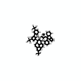 CC(C)(C)c1cc2ccc3c4c5c(c6ccc(c1)c2c36)N1c2ccccc2C2(C3=C(C=CCC3)c3ccccc32)c2cccc(c21)B5n1c2ccc(C(C)(C)C)cc2c2cc(C(C)(C)C)cc-4c21